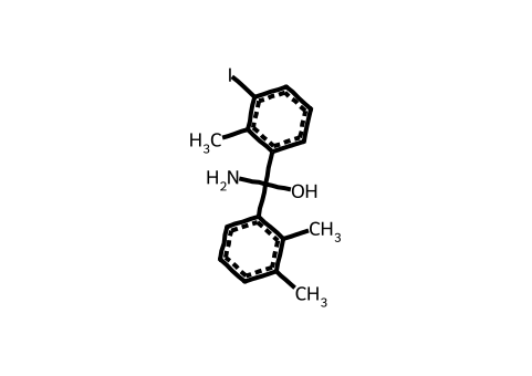 Cc1cccc(C(N)(O)c2cccc(I)c2C)c1C